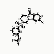 Cc1cc2c(cn1)C(=O)N1CCN(S(=O)(=O)c3cccc(OC(F)F)c3)CC21